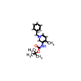 CC1=C(NC(=O)OC(C)(C)C)CN(Cc2ccccc2)C=C1